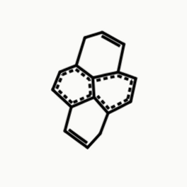 C1=Cc2ccc3c4c(ccc(c24)C1)C=CC3